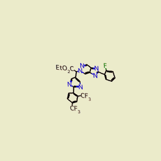 CCOC(=O)C(c1cnc(-c2ccc(C(F)(F)F)cc2C(F)(F)F)nc1)n1cc2nc(-c3ccccc3F)nc-2cn1